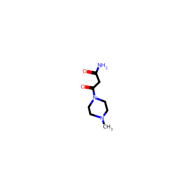 CN1CCN(C(=O)CC(N)=O)CC1